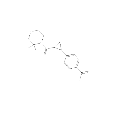 CC1(C)CNCCN1C(=O)C1CC1c1ccc(C(N)=O)cc1